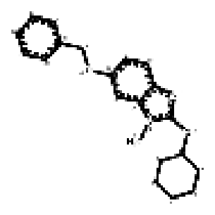 Cn1c(OC2CCCCC2)nc2ccc(OCc3ccccc3)cc21